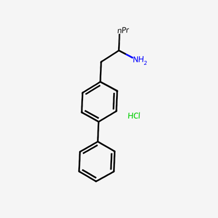 CCCC(N)Cc1ccc(-c2ccccc2)cc1.Cl